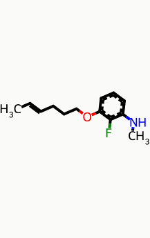 CC=CCCCOc1cccc(NC)c1F